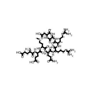 CSCCC(NC(=O)C(CCC(=O)O)NC(=O)C(N)CCC(=O)O)C(=O)NC(CCC(N)=O)C(=O)NC(CCCN=C(N)N)C(=O)NC(CCCN=C(N)N)C(=O)NC(C)C(=O)NC(CC(=O)O)C(=O)O